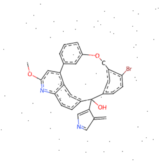 C=C1C=NC=C1C1(O)c2ccc(Br)c(c2)COc2cccc(c2)-c2cc(OC)nc3ccc1cc23